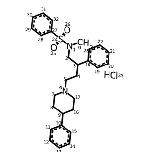 CN(CC(CCN1CCC(c2ccccc2)CC1)c1ccccc1)S(=O)(=O)c1ccccc1.Cl